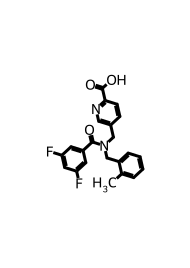 Cc1ccccc1CN(Cc1ccc(C(=O)O)nc1)C(=O)c1cc(F)cc(F)c1